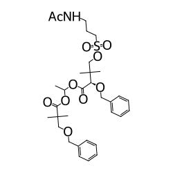 CC(=O)NCCCS(=O)(=O)OCC(C)(C)[C@@H](OCc1ccccc1)C(=O)OC(C)OC(=O)C(C)(C)COCc1ccccc1